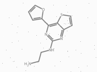 NCCNc1nc(-c2ccco2)c2sccc2n1